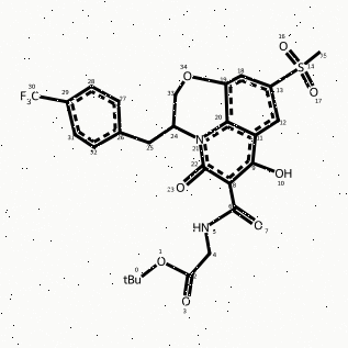 CC(C)(C)OC(=O)CNC(=O)c1c(O)c2cc(S(C)(=O)=O)cc3c2n(c1=O)C(Cc1ccc(C(F)(F)F)cc1)CO3